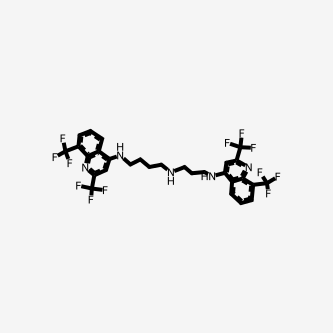 FC(F)(F)c1cc(NCCCCNCCCNc2cc(C(F)(F)F)nc3c(C(F)(F)F)cccc23)c2cccc(C(F)(F)F)c2n1